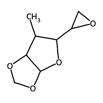 CC1C(C2CO2)OC2OCOC21